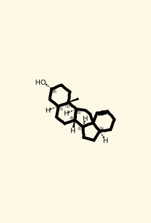 C[C@]12CC[C@@H](O)C[C@@H]1CC[C@H]1[C@@H]3CC[C@@H]4CCC=CC43CC[C@@H]12